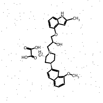 COc1cccc2ccc([C@@H]3CCN(C[C@H](O)COc4cccc5[nH]c(C)cc45)[C@@H](C)C3)cc12.O=C(O)C(=O)O